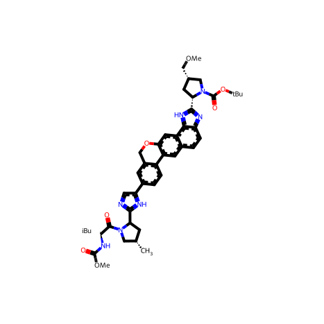 CC[C@H](C)[C@H](NC(=O)OC)C(=O)N1C[C@@H](C)CC1c1ncc(-c2ccc3c(c2)COc2cc4c(ccc5nc([C@@H]6C[C@H](COC)CN6C(=O)OC(C)(C)C)[nH]c54)cc2-3)[nH]1